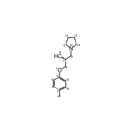 Cc1ccc(OC[C@@H](O)CN2CCCC2)cc1